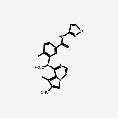 Cc1ccc(C(=O)Nc2ccon2)cc1N(C(=O)O)c1ncnn2cc(C=O)c(C)c12